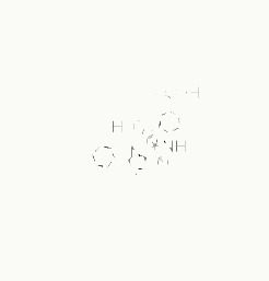 COc1cc(C(=O)O)ccc1NS(=O)(=O)c1csc(-c2cccc(C3CCCCC3)c2)n1